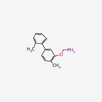 Cc1ccc(-c2ccccc2C)cc1OCP